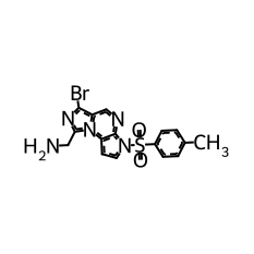 Cc1ccc(S(=O)(=O)n2ccc3c2ncc2c(Br)nc(CN)n23)cc1